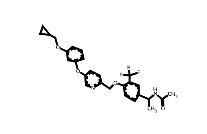 CC(=O)NC(C)c1ccc(OCc2ccc(Oc3cccc(OCC4CC4)c3)cn2)c(C(F)(F)F)c1